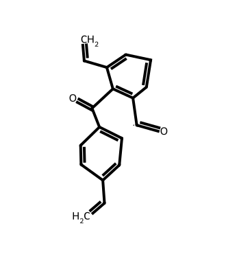 C=Cc1ccc(C(=O)c2c([C]=O)cccc2C=C)cc1